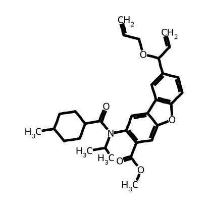 C=CCOC(C=C)c1ccc2oc3cc(C(=O)OC)c(N(C(=O)C4CCC(C)CC4)C(C)C)cc3c2c1